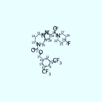 O=C(OCc1cc(C(F)(F)F)cc(C(F)(F)F)c1)N1CCCn2nc(C(=O)N3CCC(F)CC3)cc2C1